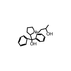 CC(O)CCN1CCCC1C(O)(c1ccccc1)c1ccccc1